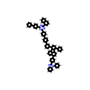 c1ccc(-c2ccc(-c3nc(-c4ccc(-c5ccc(-c6cccc(-c7ccc(-c8ccccc8)c8c7-c7cccc9c(-c%10ccc(-c%11nc%12ccccc%12n%11-c%11ccccc%11)cc%10)ccc-8c79)c6)cc5)cc4)nc(-c4cccc5ccccc45)n3)cc2)cc1